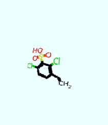 C=Cc1ccc(Cl)c(S(=O)(=O)O)c1Cl